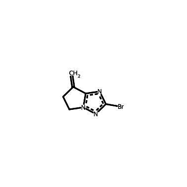 C=C1CCn2nc(Br)nc21